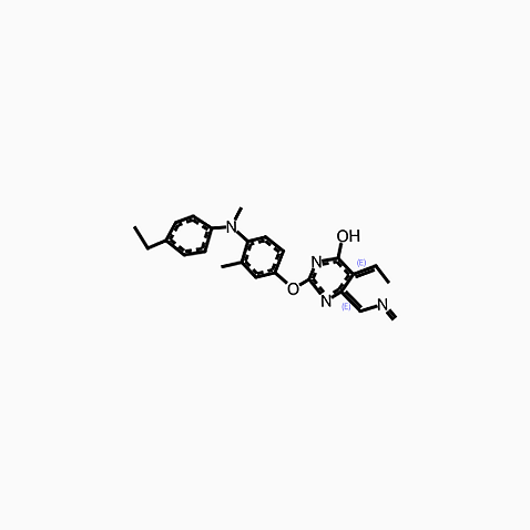 C=N/C=c1/nc(Oc2ccc(N(C)c3ccc(CC)cc3)c(C)c2)nc(O)/c1=C/C